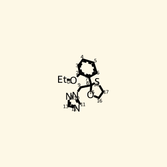 CCOc1ccccc1C1(Cn2cncn2)OCCS1